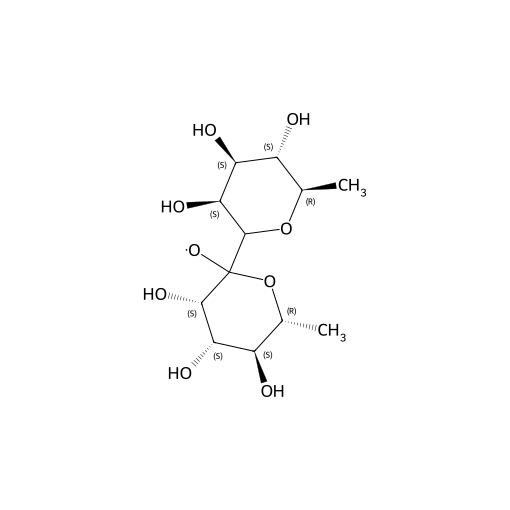 C[C@H]1OC(C2([O])O[C@H](C)[C@@H](O)[C@H](O)[C@@H]2O)[C@@H](O)[C@@H](O)[C@@H]1O